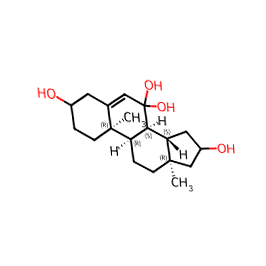 C[C@]12CC[C@@H]3[C@H]([C@@H]1CC(O)C2)C(O)(O)C=C1CC(O)CC[C@@]13C